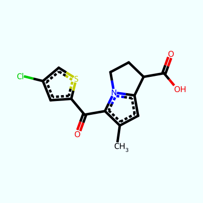 Cc1cc2n(c1C(=O)c1cc(Cl)cs1)CCC2C(=O)O